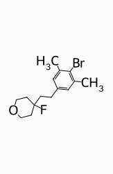 Cc1cc(CCC2(F)CCOCC2)cc(C)c1Br